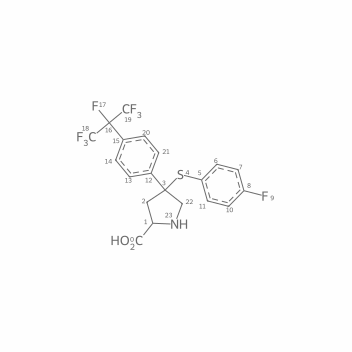 O=C(O)C1CC(Sc2ccc(F)cc2)(c2ccc(C(F)(C(F)(F)F)C(F)(F)F)cc2)CN1